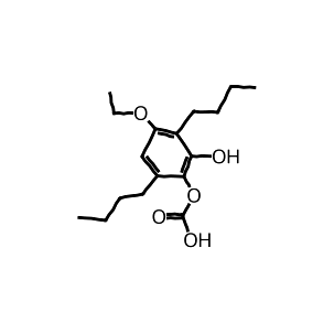 CCCCc1cc(OCC)c(CCCC)c(O)c1OC(=O)O